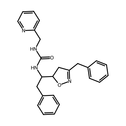 O=C(NCc1ccccn1)NC(Cc1ccccc1)C1CC(Cc2ccccc2)=NO1